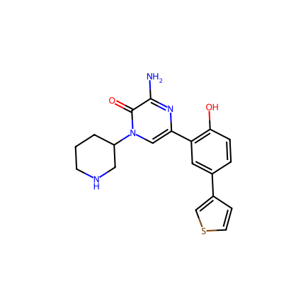 Nc1nc(-c2cc(-c3ccsc3)ccc2O)cn(C2CCCNC2)c1=O